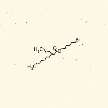 CCCCCCC/C(=C/C(=O)OCCCCCCBr)CCCC